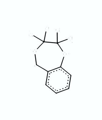 ClC1(Cl)OCc2ccccc2OC1(Cl)Cl